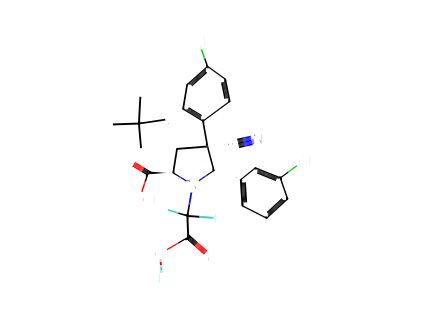 CC(C)(C)C[C@H]1[C@H](C(=O)O)N(C(F)(F)C(=O)OF)[C@@H](c2cccc(Cl)c2)[C@]1(C#N)c1ccc(Cl)cc1